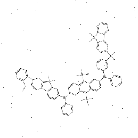 CC1C2=CC3=C(CC2c2ccccc21)C(C)(C)c1cc(N(c2ccccc2)c2ccc4c(C(C)(C)C)c5cc(N(c6ccccc6)c6ccc7c(c6)C(C)(C)c6cc8c(cc6-7)C(C)(C)c6ccccc6-8)ccc5c(C(C)(C)C)c4c2)ccc13